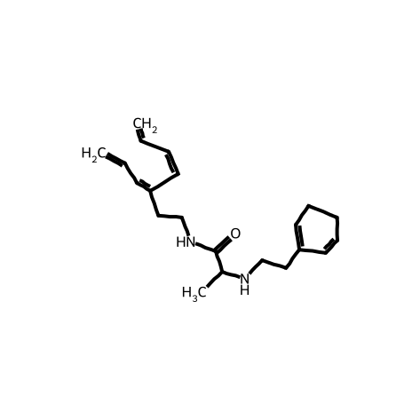 C=C/C=C\C(=C/C=C)CCNC(=O)C(C)NCCC1=CCCC=C1